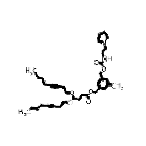 [CH2]c1cc(COC(=O)CCC(OCCC#CCCCC)OCCC#CCCCC)cc(COC(=O)NCCN2CCCC2)c1